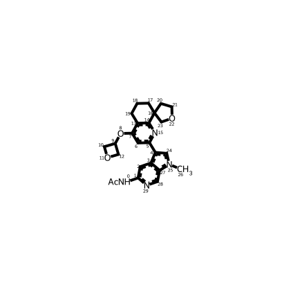 CC(=O)Nc1cc2c(-c3cc(OC4COC4)c4c(n3)C3(CCC4)CCOC3)cn(C)c2cn1